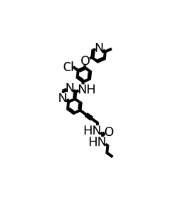 CCCNC(=O)NCC#Cc1ccc2ncnc(Nc3ccc(Oc4ccc(C)nc4)c(Cl)c3)c2c1